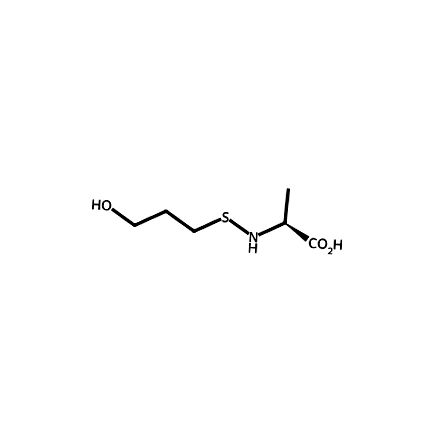 C[C@H](NSCCCO)C(=O)O